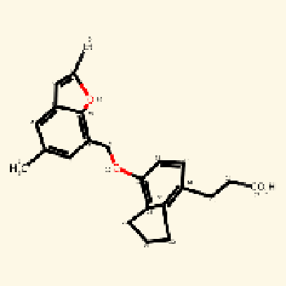 CCc1cc2cc(C)cc(COc3ccc(CCC(=O)O)c4c3CCC4)c2o1